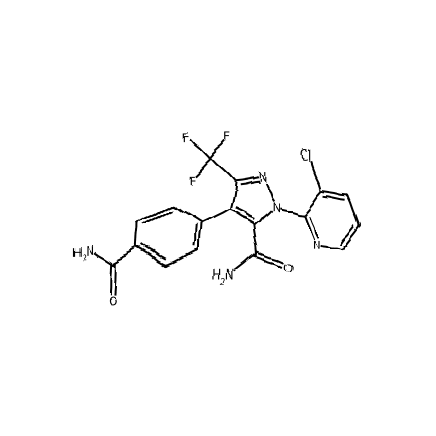 NC(=O)c1ccc(-c2c(C(F)(F)F)nn(-c3ncccc3Cl)c2C(N)=O)cc1